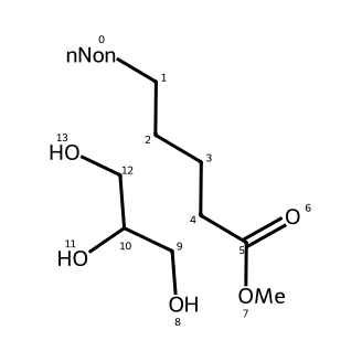 CCCCCCCCCCCCCC(=O)OC.OCC(O)CO